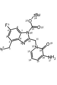 CC(C)Cc1cc(F)cc2c1nc(Cn1cccc(N)c1=O)n2C(=O)OC(C)(C)C